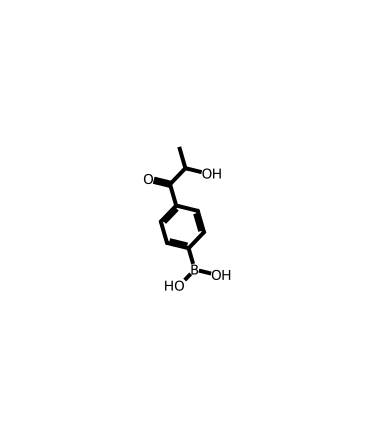 CC(O)C(=O)c1ccc(B(O)O)cc1